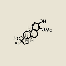 COc1c(O)ccc2c1CC[C@@H]1[C@@H]2CC[C@@]2(C)[C@H]1CC[C@@]2(O)C(C)=O